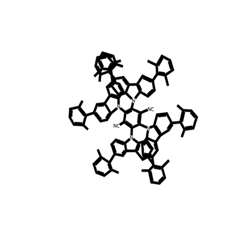 [C-]#[N+]c1c(-n2c3ccc(-c4c(C)cccc4C)cc3c3cc(-c4c(C)cccc4C)ccc32)c(-n2c3ccc(C)cc3c3cc(-c4c(C)cccc4C)ccc32)c(C#N)c(-n2c3ccc(-c4c(C)cccc4C)cc3c3cc(-c4c(C)cccc4C)ccc32)c1-n1c2ccc(-c3c(C)cccc3C)cc2c2cc(-c3c(C)cccc3C)ccc21